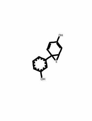 OC1=CC2SC2(c2cccc(O)c2)C=C1